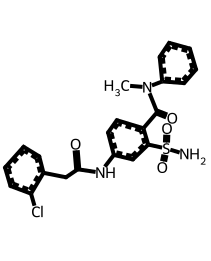 CN(C(=O)c1ccc(NC(=O)Cc2ccccc2Cl)cc1S(N)(=O)=O)c1ccccc1